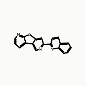 c1ccc2nc(-c3cc4sc5ncccc5c4cn3)ccc2c1